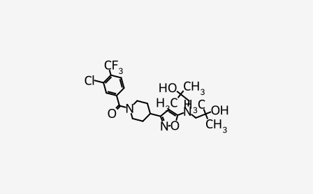 CC(C)(O)CN(CC(C)(C)O)c1cc(C2CCN(C(=O)c3ccc(C(F)(F)F)c(Cl)c3)CC2)no1